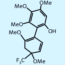 COC1=C(c2c(O)cc(OC)c(OC)c2OC)C=CC(OC)(C(F)(F)F)C1